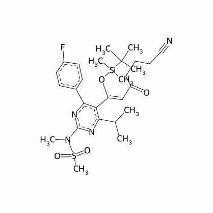 CC(C)c1nc(N(C)S(C)(=O)=O)nc(-c2ccc(F)cc2)c1C(=CC(=O)CCCC#N)O[Si](C)(C)C(C)(C)C